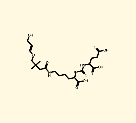 CC(C)(COC=CCO)CC(=O)NCCCCC(NC(=O)NC(CCC(=O)O)C(=O)O)C(=O)O